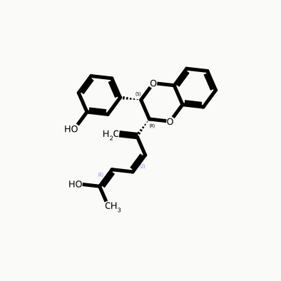 C=C(/C=C\C=C(/C)O)[C@H]1Oc2ccccc2O[C@H]1c1cccc(O)c1